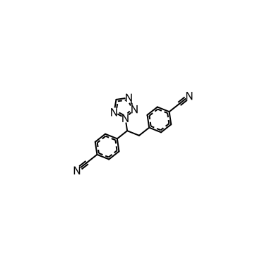 N#Cc1ccc(CC(c2ccc(C#N)cc2)n2ncnn2)cc1